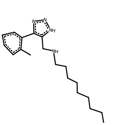 CCCCCCCCCNCc1[nH]nnc1-c1ccccc1C